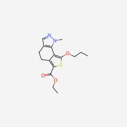 CCCOc1sc(C(=O)OCC)c2c1-c1c(cnn1C)CC2